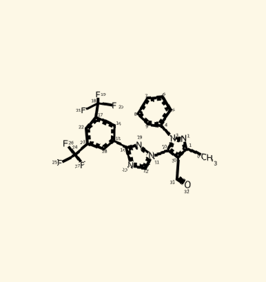 Cc1nn(-c2ccccc2)c(-n2cnc(-c3cc(C(F)(F)F)cc(C(F)(F)F)c3)n2)c1C=O